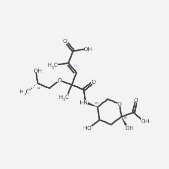 C/C(=C\C(C)(OC[C@H](C)O)C(=O)N[C@H]1CO[C@](O)(C(=O)O)CC1O)C(=O)O